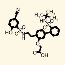 CC(C)(C)NS(=O)(=O)c1ccccc1-c1ccc(CCNS(=O)(=O)c2cc(C#N)ccc2O)c(OCC(=O)O)c1